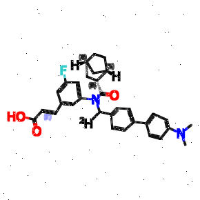 [2H]C(c1ccc(-c2ccc(N(C)C)cc2)cc1)N(C(=O)[C@@H]1C[C@@H]2CC[C@H]1C2)c1cc(F)cc(/C=C/C(=O)O)c1